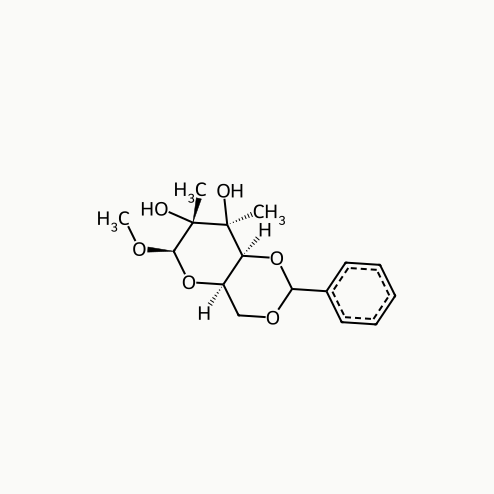 CO[C@@H]1O[C@@H]2COC(c3ccccc3)O[C@@H]2[C@](C)(O)[C@@]1(C)O